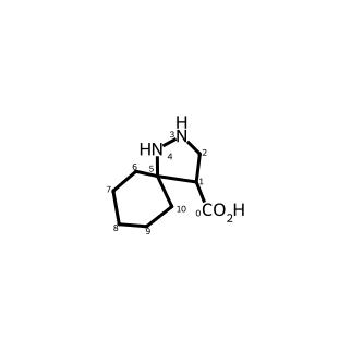 O=C(O)C1CNNC12CCCCC2